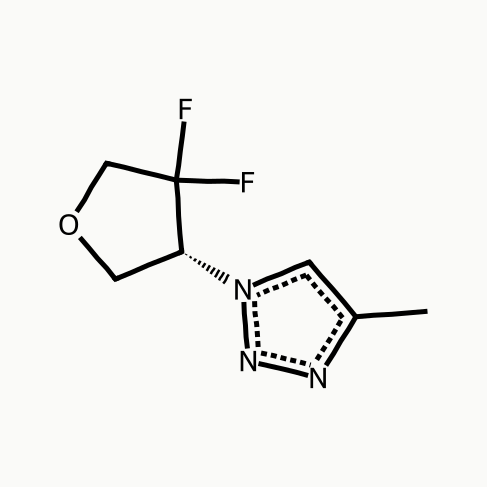 Cc1cn([C@@H]2COCC2(F)F)nn1